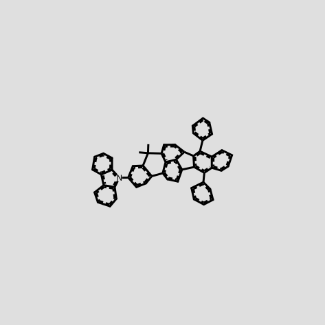 CC1(C)c2cc(-n3c4ccccc4c4ccccc43)ccc2-c2ccc3c4c(ccc1c24)-c1c-3c(-c2ccccc2)c2ccccc2c1-c1ccccc1